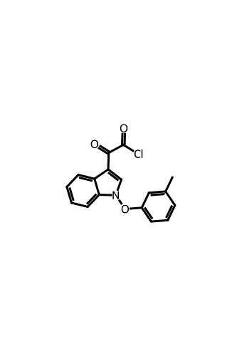 Cc1cccc(On2cc(C(=O)C(=O)Cl)c3ccccc32)c1